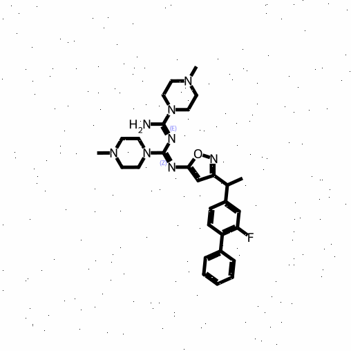 CC(c1ccc(-c2ccccc2)c(F)c1)c1cc(/N=C(\N=C(/N)N2CCN(C)CC2)N2CCN(C)CC2)on1